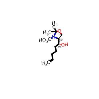 C=CCCC[C@@H](O)[C@@H]1COC(C)(C)N1C(=O)O